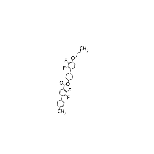 C=CCCOc1ccc(C2CCC(OC(=O)c3ccc(-c4ccc(C)cc4)c(F)c3F)CC2)c(F)c1F